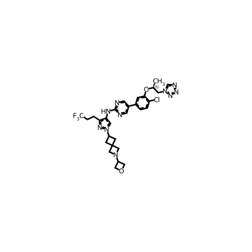 C[C@@H](Cn1cnnn1)Oc1cc(-c2cnc(Nc3cn(C4CC5(C4)CN(C4COC4)C5)nc3CCC(F)(F)F)nc2)ccc1Cl